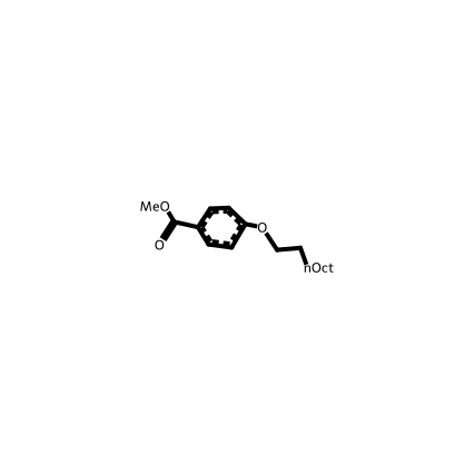 CCCCCCCCCCOc1ccc(C(=O)OC)cc1